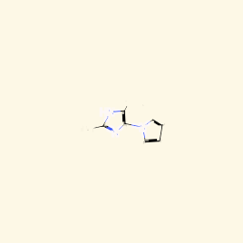 CCCCc1nc(-n2cccc2)c(C)[nH]1